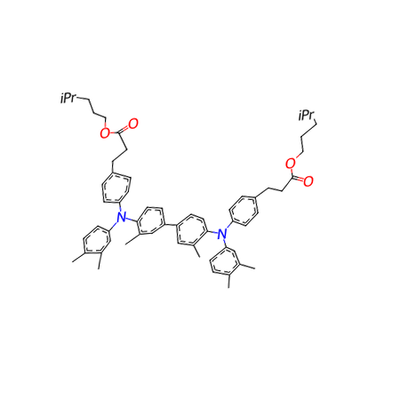 Cc1ccc(N(c2ccc(CCC(=O)OCCCC(C)C)cc2)c2ccc(-c3ccc(N(c4ccc(CCC(=O)OCCCC(C)C)cc4)c4ccc(C)c(C)c4)c(C)c3)cc2C)cc1C